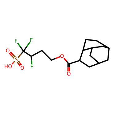 O=C(OCCC(F)C(F)(F)S(=O)(=O)O)C1CC2CC3CCC1C(C3)C2